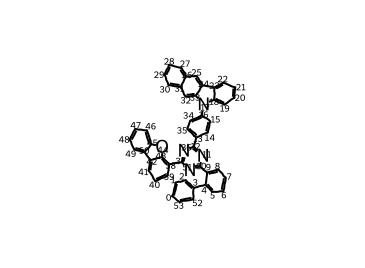 c1ccc(-c2ccccc2-c2nc(-c3ccc(-n4c5ccccc5c5cc6ccccc6cc54)cc3)nc(-c3cccc4c3oc3ccccc34)n2)cc1